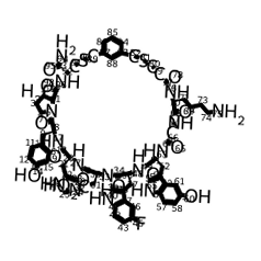 C[C@@]12CCCN1C(=O)[C@H](Cc1ccc(O)cc1)NC(=O)[C@H](Cc1cnc[nH]1)NC(=O)[C@H](CC(=O)O)NC(=O)[C@H](Cc1c[nH]c3ccc(F)cc13)NC(=O)[C@H](Cc1c[nH]c3ccc(O)cc13)NC(=O)CNC(=O)[C@H](CCCCN)NC(=O)CCSCc1cccc(c1)CSC[C@@H](C(N)=O)NC2=O